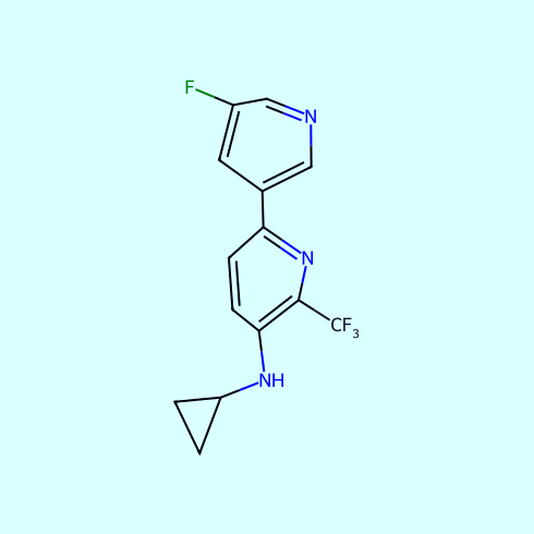 Fc1cncc(-c2ccc(NC3CC3)c(C(F)(F)F)n2)c1